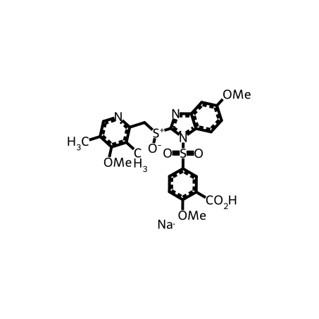 COc1ccc2c(c1)nc([S+]([O-])Cc1ncc(C)c(OC)c1C)n2S(=O)(=O)c1ccc(OC)c(C(=O)O)c1.[Na]